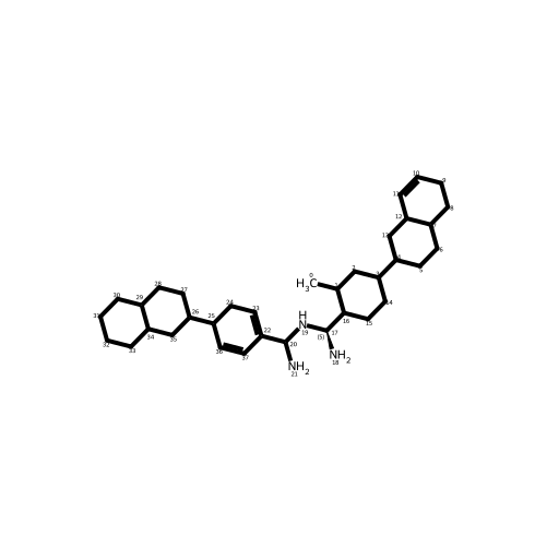 CC1CC(C2CCC3CCC=CC3C2)CCC1[C@@H](N)NC(N)C1=CCC(C2CCC3CCCCC3C2)C=C1